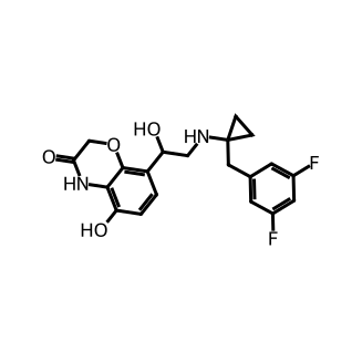 O=C1COc2c(C(O)CNC3(Cc4cc(F)cc(F)c4)CC3)ccc(O)c2N1